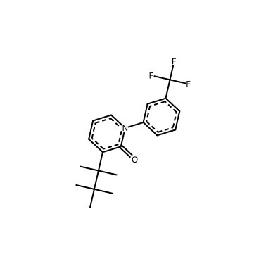 CC(C)(C)C(C)(C)c1cccn(-c2cccc(C(F)(F)F)c2)c1=O